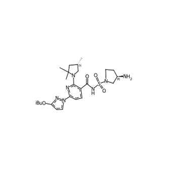 CC(C)COc1ccn(-c2ccc(C(=O)NS(=O)(=O)N3CC[C@@H](N)C3)c(N3C[C@@H](C)CC3(C)C)n2)n1